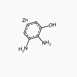 Nc1cccc(O)c1N.[Zn]